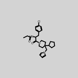 CCC(=O)NC(Cc1ccc(Cl)cc1)C(=O)N1CCC(Cn2cccc2)(C2CCCC2)CC1